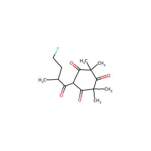 CC(CCF)C(=O)C1C(=O)C(C)(C)C(=O)C(C)(C)C1=O